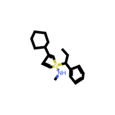 CCC(c1ccccc1)S1(NC)C=CC(C2CCCCC2)=C1